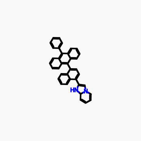 C1=CC2NC(c3ccc(-c4c5ccccc5c(-c5ccccc5)c5ccccc45)c4ccccc34)=CN2C=C1